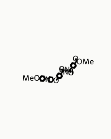 COC(=O)c1ccc(C(=O)NNC(=O)c2ccc(OC3CCN(c4ccc(OC)cc4)CC3)cc2)cc1